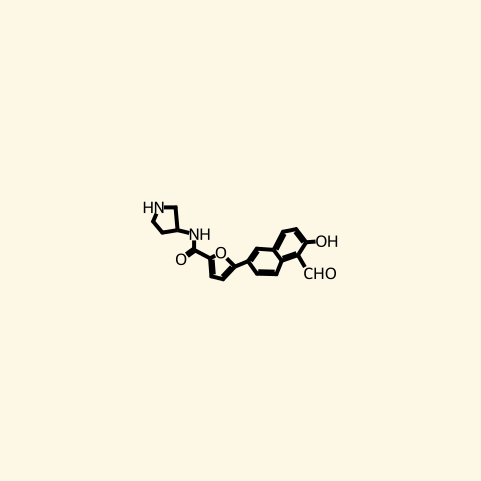 O=Cc1c(O)ccc2cc(-c3ccc(C(=O)NC4CCNC4)o3)ccc12